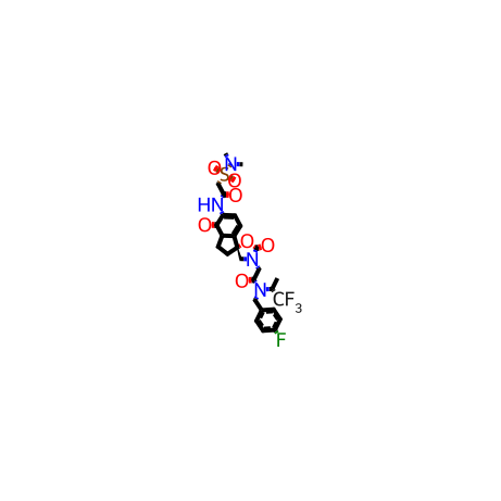 CC(N(Cc1ccc(F)cc1)C(=O)CN1C[C@]2(CCC3C(=O)C(NC(=O)CS(=O)(=O)N(C)C)=CC=C32)OC1=O)C(F)(F)F